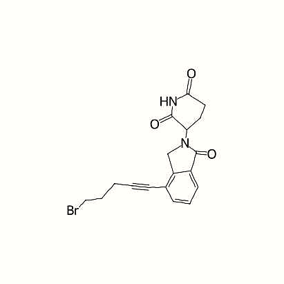 O=C1CCC(N2Cc3c(C#CCCCBr)cccc3C2=O)C(=O)N1